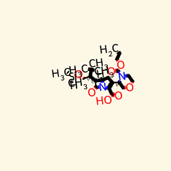 C=CCOC(=O)N1CCOC[C@H]1C1=C(C(=O)O)N2C(=O)[C@@H]([C@@H](CO[SiH](C)C)C(C)(C)C)[C@H]2C1